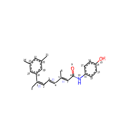 C/C(=C/C=C/C(C)=C/C(=O)Nc1ccc(O)cc1)c1cc(C)cc(C)c1